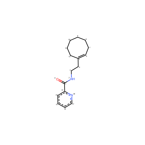 O=C(NCCC1=CCCCCCC1)c1ccccn1